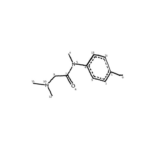 Cc1ccc(N(C)C(=O)CN(C)C)cc1